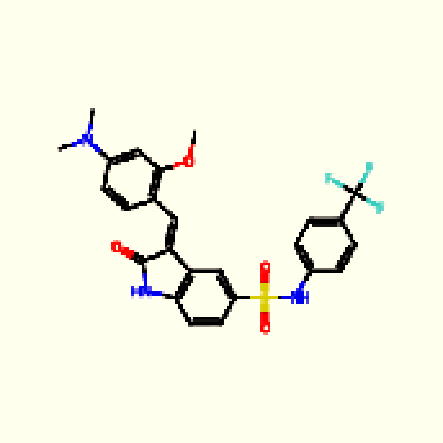 COc1cc(N(C)C)ccc1C=C1C(=O)Nc2ccc(S(=O)(=O)Nc3ccc(C(F)(F)F)cc3)cc21